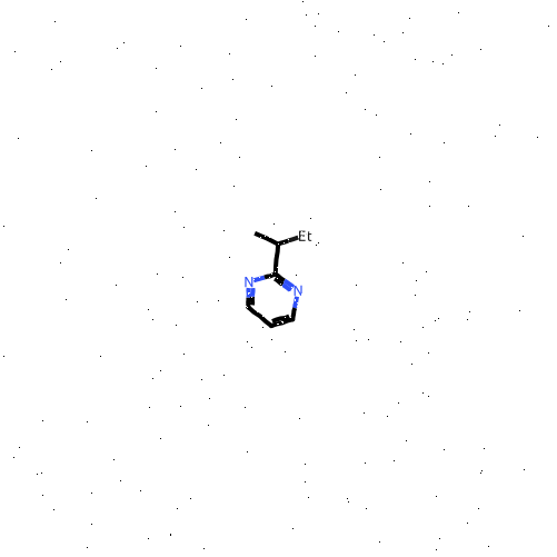 CCC(C)c1ncccn1